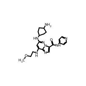 COCCNc1cc(NC2CCC(N)CC2)nn2c(C(=O)Nc3ccncc3)cnc12